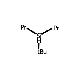 CC(C)[SiH](C(C)C)C(C)(C)C